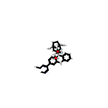 C/C=C\C(=C/CI)c1ccc2c(c1)Oc1ccccc1N2[C@@H]1C[C@H]2CC[C@@H](C1)N2C(=O)OC(C)(C)C